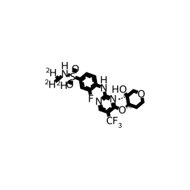 [2H]C([2H])([2H])NS(=O)(=O)c1ccc(Nc2ncc(C(F)(F)F)c(O[C@@H]3CCOC[C@]3(C)O)n2)c(F)c1